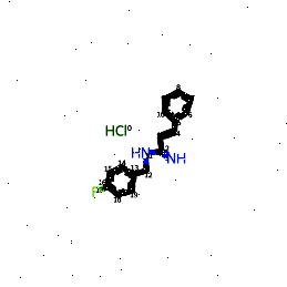 Cl.N=C(C=Cc1ccccc1)NCc1ccc(F)cc1